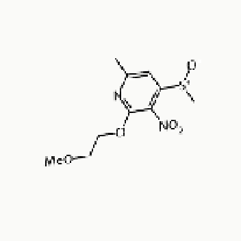 COCCOc1nc(C)cc([S+](C)[O-])c1[N+](=O)[O-]